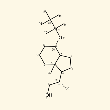 C[C@H](CO)C1CCC2[C@@H](O[Si](C)(C)C(C)(C)C)CCCC12C